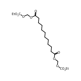 CCOC(=O)OCOC(=O)CCCCCCCCCCC(=O)OCOC(=O)OCC